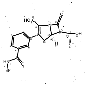 CCCNC(=O)c1cccc(C2=C(C(=O)O)N3C(=O)[C@H]([C@@H](C)O)[C@H]3C2)c1